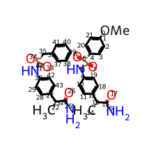 COc1ccc(S(=O)(=O)Nc2ccc([C@@H](C)C(N)=O)cc2)cc1.C[C@@H](C(N)=O)c1ccc(NS(=O)(=O)Cc2ccccc2)cc1